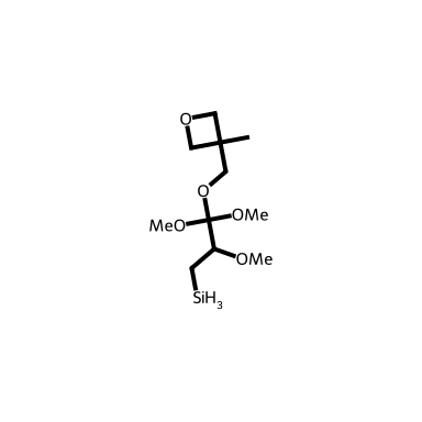 COC(C[SiH3])C(OC)(OC)OCC1(C)COC1